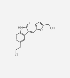 O=C1Nc2ccc(CCCl)cc2C1=Cc1ccc(CO)o1